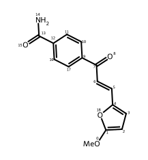 COc1ccc(/C=C/C(=O)c2ccc(C(N)=O)cc2)o1